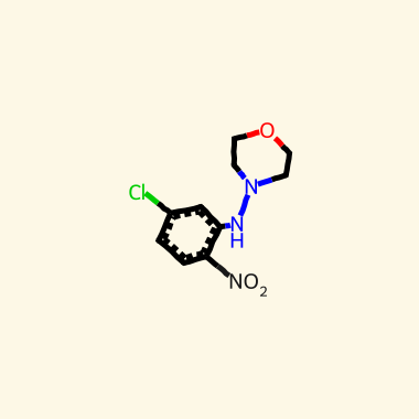 O=[N+]([O-])c1ccc(Cl)cc1NN1CCOCC1